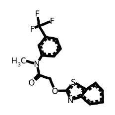 CN(C(=O)COc1nc2ccccc2s1)c1cccc(C(F)(F)F)c1